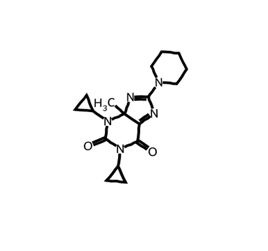 CC12N=C(N3CCCCC3)N=C1C(=O)N(C1CC1)C(=O)N2C1CC1